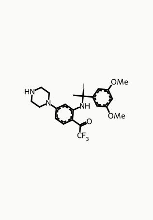 COc1cc(OC)cc(C(C)(I)Nc2cc(N3CCNCC3)ccc2C(=O)C(F)(F)F)c1